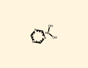 OBO.c1ncncn1